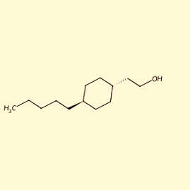 CCCCC[C@H]1CC[C@H](CCO)CC1